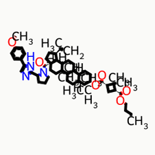 C=C(C)[C@@H]1CC[C@]2(C(=O)N3CCCC3c3ncc(-c4ccc(OC)cc4)[nH]3)CC[C@]3(C)[C@H](CC[C@@H]4[C@@]5(C)CC[C@H](OC(=O)[C@H]6C[C@@H](C(=O)OCCCC)C6(C)C)C(C)(C)[C@@H]5CC[C@]43C)[C@@H]12